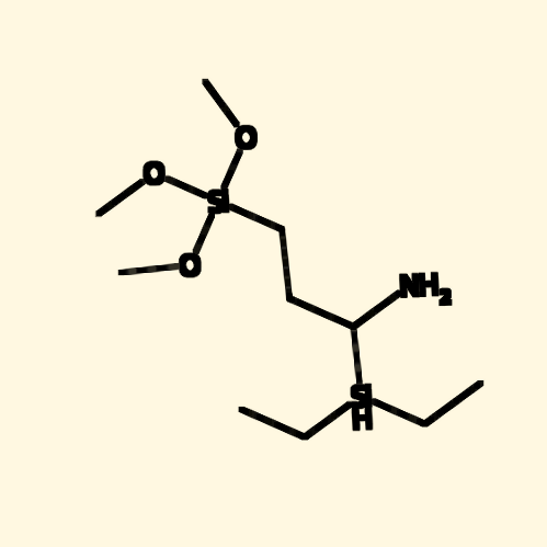 CC[SiH](CC)C(N)CC[Si](OC)(OC)OC